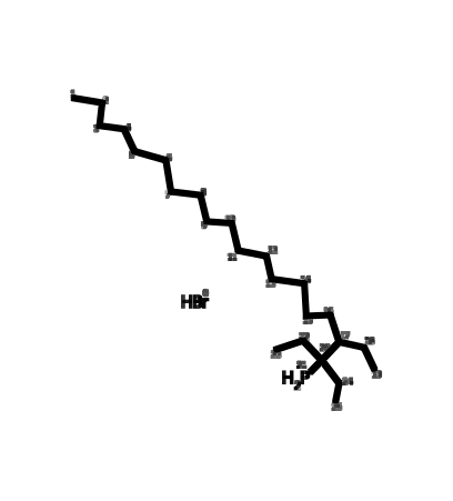 Br.CCCCCCCCCCCCCCCCC(CC)C(P)(CC)CC